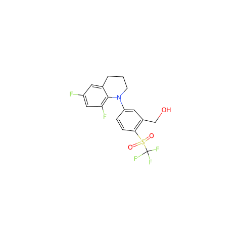 O=S(=O)(c1ccc(N2CCCc3cc(F)cc(F)c32)cc1CO)C(F)(F)F